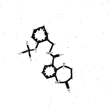 O=C1CCNc2c(cccc2C(=O)NCc2ccccc2OC(F)(F)F)N1